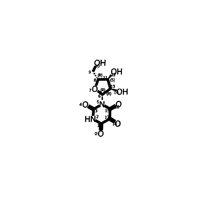 O=C1NC(=O)N([C@@H]2O[C@H](CO)[C@@H](O)[C@H]2O)C(=O)C1=O